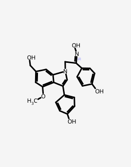 COc1cc(CO)cc2c1c(-c1ccc(O)cc1)cn2C/C(=N\O)c1ccc(O)cc1